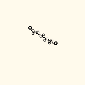 O=C(/C=C/C(=O)OCNC(=O)OCc1ccccc1)OCCCCNC(=O)OCc1ccccc1